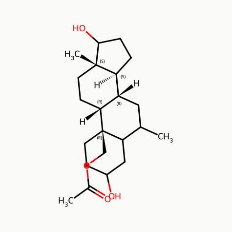 CC(=O)OC[C@]12CCC(O)CC1C(C)C[C@@H]1[C@H]2CC[C@]2(C)C(O)CC[C@@H]12